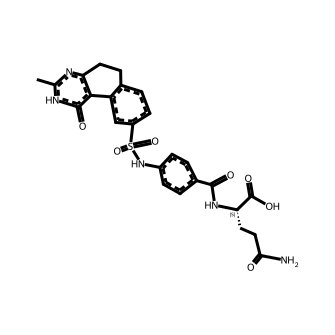 Cc1nc2c(c(=O)[nH]1)-c1cc(S(=O)(=O)Nc3ccc(C(=O)N[C@@H](CCC(N)=O)C(=O)O)cc3)ccc1CC2